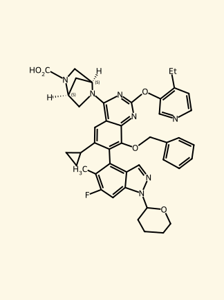 CCc1ccncc1Oc1nc(N2C[C@@H]3C[C@H]2CN3C(=O)O)c2cc(C3CC3)c(-c3c(C)c(F)cc4c3cnn4C3CCCCO3)c(OCc3ccccc3)c2n1